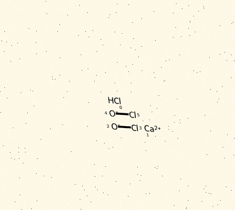 Cl.[Ca+2].[O-]Cl.[O-]Cl